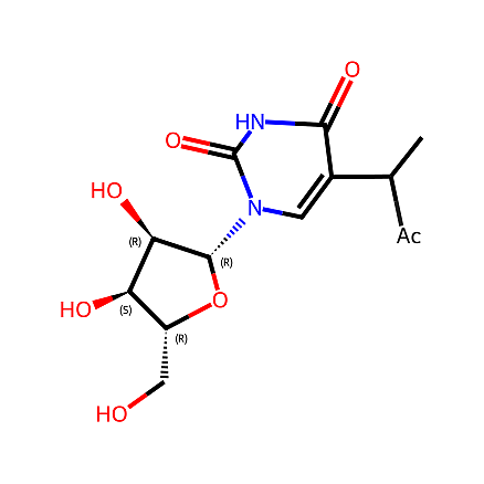 CC(=O)C(C)c1cn([C@@H]2O[C@H](CO)[C@@H](O)[C@H]2O)c(=O)[nH]c1=O